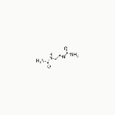 NC(=O)N=CCNC(N)=O